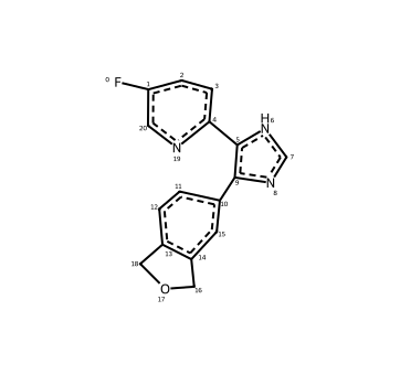 Fc1ccc(-c2[nH]cnc2-c2ccc3c(c2)COC3)nc1